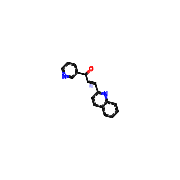 O=C(/C=C/c1ccc2ccccc2n1)c1cccnc1